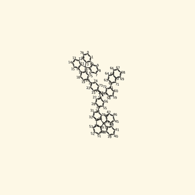 c1ccc(C2(c3ccccc3)c3ccccc3-c3ccc(-c4ccc(N(c5ccc(-c6ccc7c(c6)C(c6ccccc6)(c6ccccc6)c6ccccc6-7)cc5)c5cccc(-c6ccc7ccccc7c6)c5)cc4)cc32)cc1